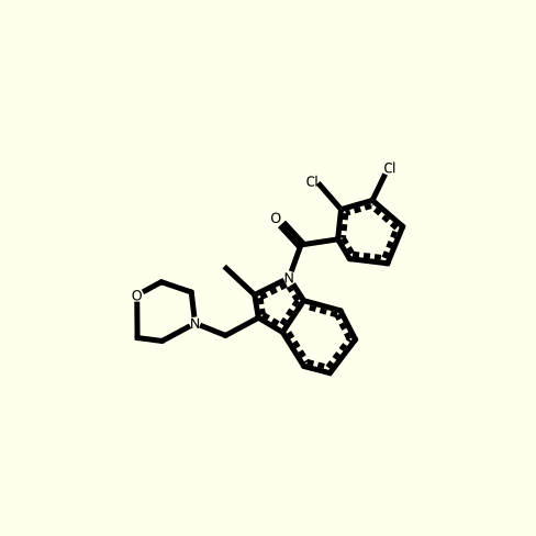 Cc1c(CN2CCOCC2)c2ccccc2n1C(=O)c1cccc(Cl)c1Cl